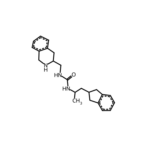 CC(CC1Cc2ccccc2C1)NC(=O)NCC1Cc2ccccc2CN1